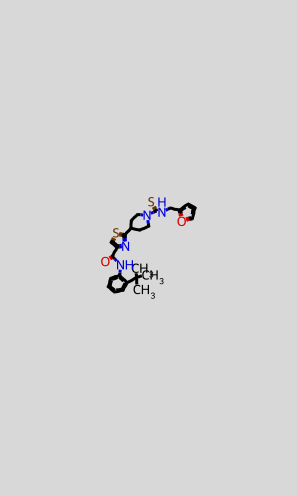 CC(C)(C)c1ccccc1NC(=O)c1csc(C2CCN(C(=S)NCc3ccco3)CC2)n1